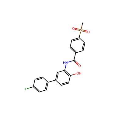 CS(=O)(=O)c1ccc(C(=O)Nc2cc(-c3ccc(F)cc3)ccc2O)cc1